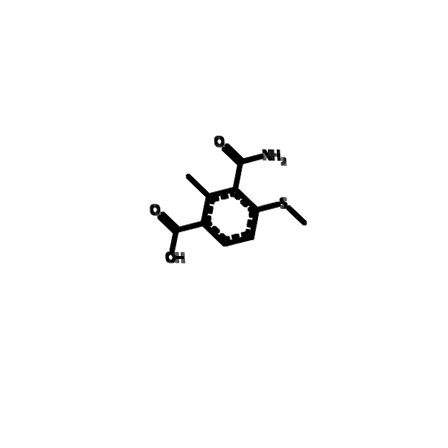 CSc1ccc(C(=O)O)c(C)c1C(N)=O